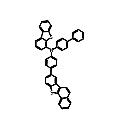 c1ccc(-c2ccc(N(c3ccc(-c4ccc5sc6c7ccccc7ccc6c5c4)cc3)c3cccc4c3sc3ccccc34)cc2)cc1